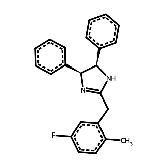 Cc1ccc(F)cc1CC1=N[C@@H](c2ccccc2)[C@@H](c2ccccc2)N1